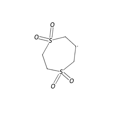 O=S1(=O)C[CH]CS(=O)(=O)CC1